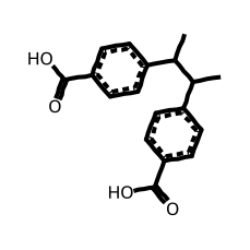 CC(c1ccc(C(=O)O)cc1)C(C)c1ccc(C(=O)O)cc1